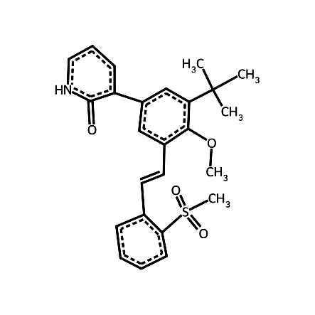 COc1c(C=Cc2ccccc2S(C)(=O)=O)cc(-c2ccc[nH]c2=O)cc1C(C)(C)C